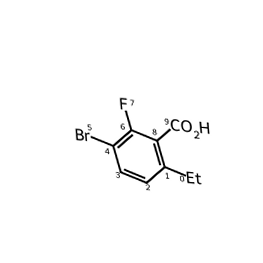 CCc1ccc(Br)c(F)c1C(=O)O